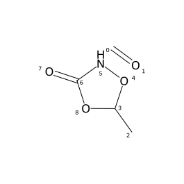 C=O.CC1ONC(=O)O1